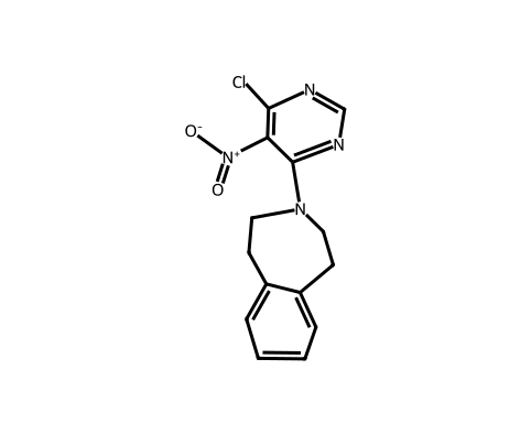 O=[N+]([O-])c1c(Cl)ncnc1N1CCc2ccccc2CC1